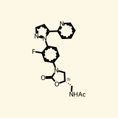 CC(=O)NC[C@H]1CN(c2ccc(-n3nccc3-c3ccccn3)c(F)c2)C(=O)O1